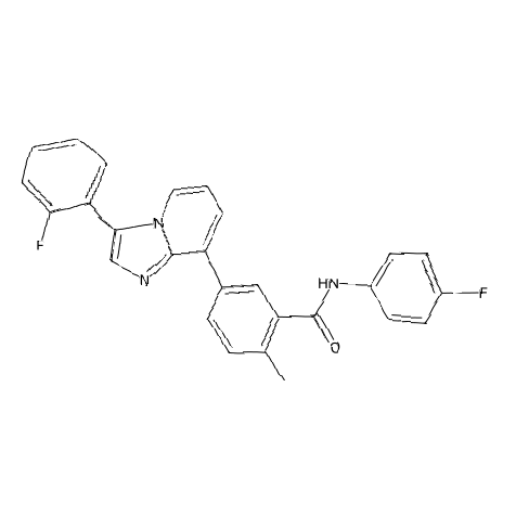 Cc1ccc(-c2cccn3c(-c4ccccc4F)cnc23)cc1C(=O)Nc1ccc(F)cc1